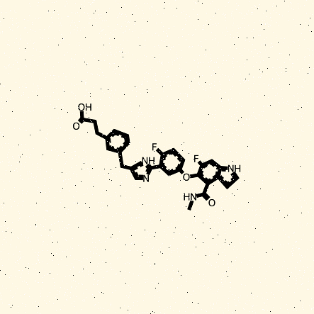 CNC(=O)c1c(Oc2ccc(F)c(-c3ncc(Cc4cccc(CCC(=O)O)c4)[nH]3)c2)c(F)cc2[nH]ccc12